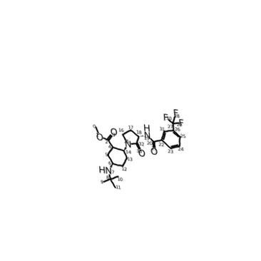 COC(=O)C1C[C@H](NC(C)(C)C)CC[C@@H]1N1CC[C@H](NC(=O)c2cccc(C(F)(F)F)c2)C1=O